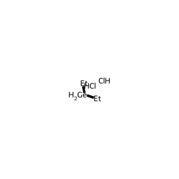 C[CH2][GeH2][CH2]C.Cl.Cl